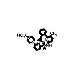 O=C(O)N1CCN(c2cccc(S(=O)(=O)Nc3ccc(C(F)(F)F)c(-c4ccccc4C4CC4)n3)n2)CC1